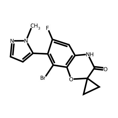 Cn1nccc1-c1c(F)cc2c(c1Br)OC1(CC1)C(=O)N2